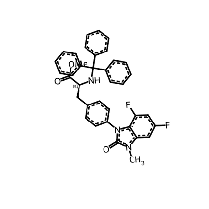 COC(=O)[C@H](Cc1ccc(-n2c(=O)n(C)c3cc(F)cc(F)c32)cc1)NC(c1ccccc1)(c1ccccc1)c1ccccc1